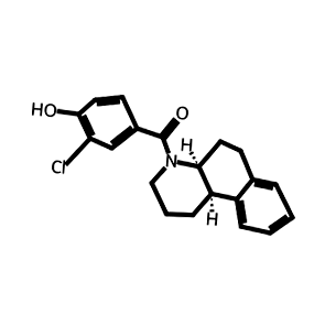 O=C(c1ccc(O)c(Cl)c1)N1CCC[C@@H]2c3ccccc3CC[C@@H]21